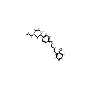 CCCN1CCOC(c2ccc(OCCCc3ccccc3Cl)cc2)C1